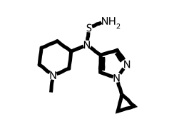 CN1CCCC(N(SN)c2cnn(C3CC3)c2)C1